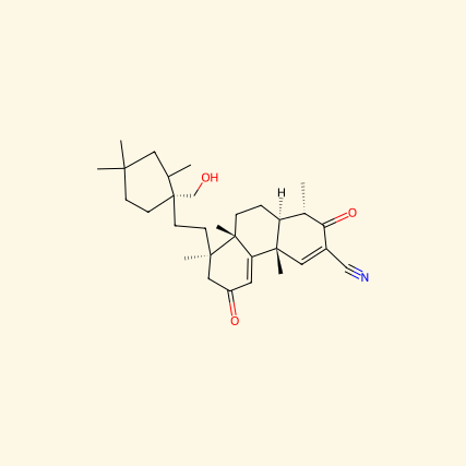 CC1CC(C)(C)CC[C@]1(CO)CC[C@]1(C)CC(=O)C=C2[C@@]3(C)C=C(C#N)C(=O)[C@@H](C)[C@@H]3CC[C@]21C